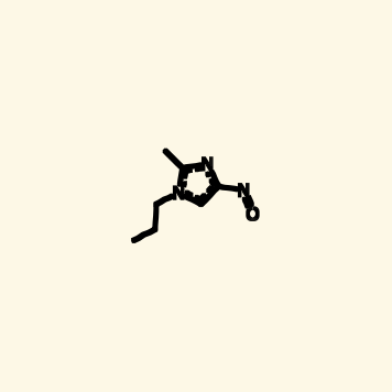 CCCn1cc(N=O)nc1C